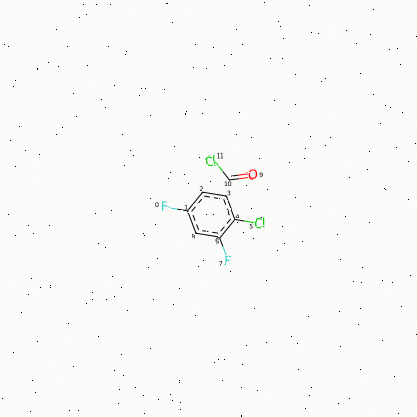 Fc1ccc(Cl)c(F)c1.O=CCl